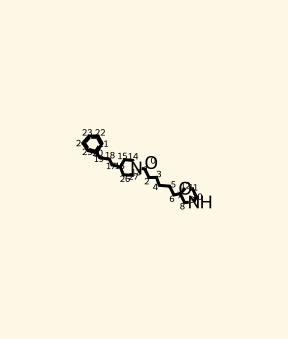 O=C(CCCCCC1CNCCO1)N1CCC(CCCc2ccccc2)CC1